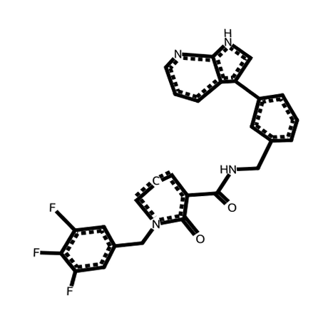 O=C(NCc1cccc(-c2c[nH]c3ncccc23)c1)c1cccn(Cc2cc(F)c(F)c(F)c2)c1=O